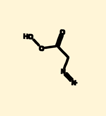 [N]=NCC(=O)OO